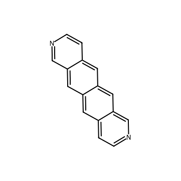 c1cc2cc3cc4cnccc4cc3cc2cn1